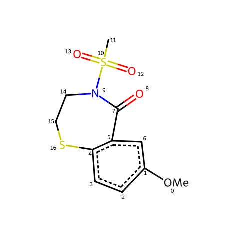 COc1ccc2c(c1)C(=O)N(S(C)(=O)=O)CCS2